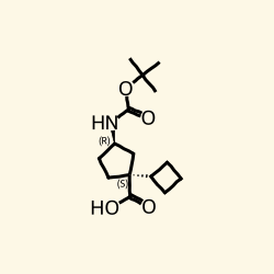 CC(C)(C)OC(=O)N[C@@H]1CC[C@@](C(=O)O)(C2CCC2)C1